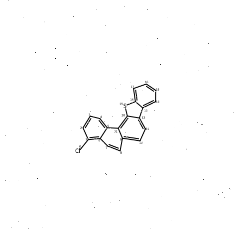 Clc1cccc2c1ccc1ccc3c4ccccc4sc3c12